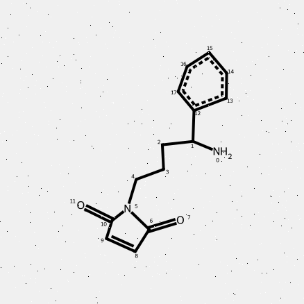 NC(CCCN1C(=O)C=CC1=O)c1ccccc1